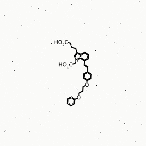 O=C(O)CCCc1cn(CC(=O)O)c2c(C=Cc3ccc(OCCCOc4ccccc4)cc3)cccc12